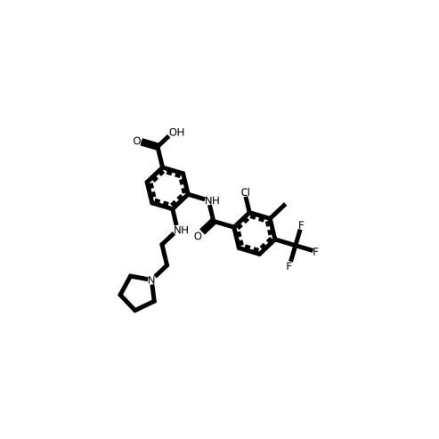 Cc1c(C(F)(F)F)ccc(C(=O)Nc2cc(C(=O)O)ccc2NCCN2CCCC2)c1Cl